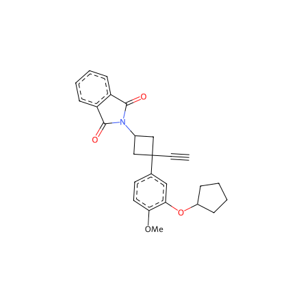 C#CC1(c2ccc(OC)c(OC3CCCC3)c2)CC(N2C(=O)c3ccccc3C2=O)C1